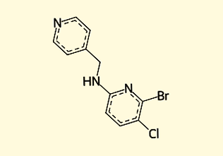 Clc1ccc(NCc2ccncc2)nc1Br